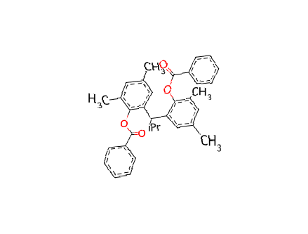 Cc1cc(C)c(OC(=O)c2ccccc2)c(C(c2cc(C)cc(C)c2OC(=O)c2ccccc2)C(C)C)c1